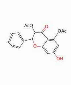 CC(=O)Oc1cc(O)cc2c1C(=O)C(OC(C)=O)C(c1c[c][c]cc1)O2